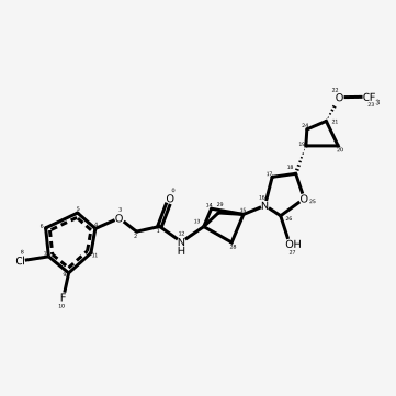 O=C(COc1ccc(Cl)c(F)c1)NC12CC(N3CC([C@H]4C[C@@H](OC(F)(F)F)C4)OC3O)(C1)C2